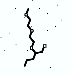 CCCC(CCl)OCCOCCOC